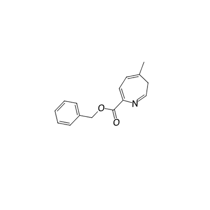 CC1=CC=C(C(=O)OCc2ccccc2)N=CC1